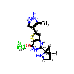 Cc1[nH]ncc1-c1cc2nc([C@@]34C[C@H]3CCN4)[nH]c(=O)c2s1.Cl.Cl